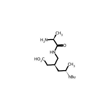 CCCC[C@@H](C)C[C@H](CNC(=O)[C@H](C)N)CC(=O)O